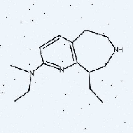 CCC1CNCCc2ccc(N(C)CC)nc21